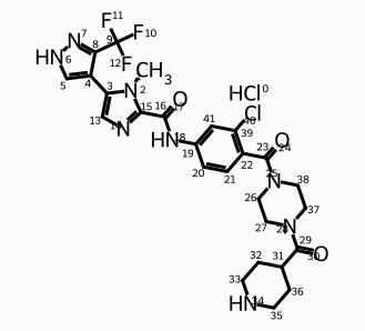 Cl.Cn1c(-c2c[nH]nc2C(F)(F)F)cnc1C(=O)Nc1ccc(C(=O)N2CCN(C(=O)C3CCNCC3)CC2)c(Cl)c1